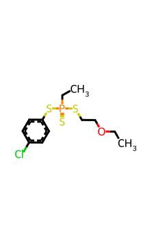 CCOCCSP(=S)(CC)Sc1ccc(Cl)cc1